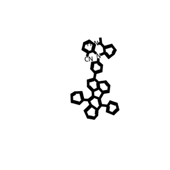 CC(N)c1ccccc1N(c1ccc(-c2ccc3c4c(cccc24)-c2c-3c(-c3ccccc3)c3ccccc3c2-c2ccccc2)cc1)c1ccccc1C#N